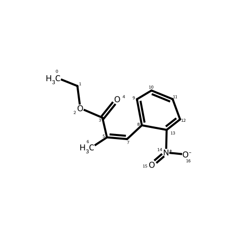 CCOC(=O)C(C)=Cc1ccccc1[N+](=O)[O-]